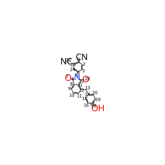 N#Cc1ccc(N2C(=O)c3cccc(Cc4ccc(O)cc4)c3C2=O)cc1C#N